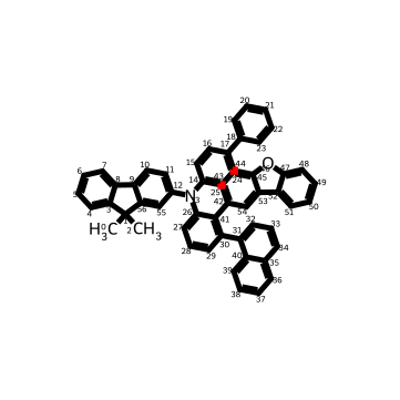 CC1(C)c2ccccc2-c2ccc(N(c3ccc(-c4ccccc4)cc3)c3cccc(-c4cccc5ccccc45)c3-c3ccc4oc5ccccc5c4c3)cc21